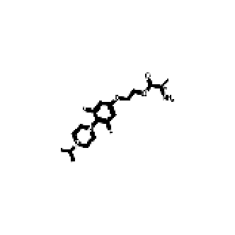 CC(C)N1CCN(c2c(F)cc(OCCOC(=O)[C@@H](C)N)cc2F)CC1